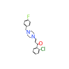 O=C(C=CN1CCN(Cc2ccc(F)cc2)CC1)c1ccccc1Cl